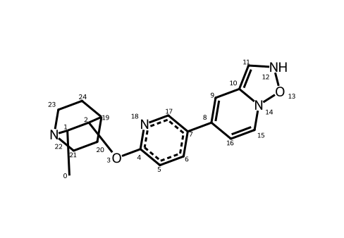 CC1C(Oc2ccc(C3=CC4=CNON4C=C3)cn2)C2CCN1CC2